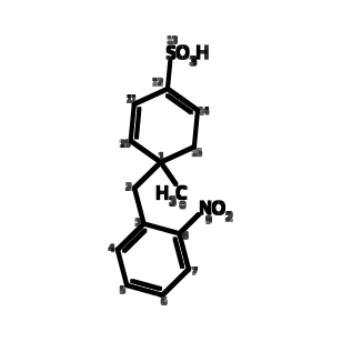 CC1(Cc2ccccc2[N+](=O)[O-])C=CC(S(=O)(=O)O)=CC1